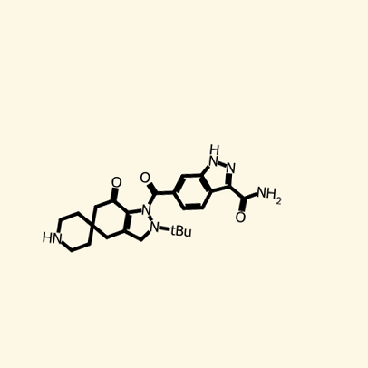 CC(C)(C)N1CC2=C(C(=O)CC3(CCNCC3)C2)N1C(=O)c1ccc2c(C(N)=O)n[nH]c2c1